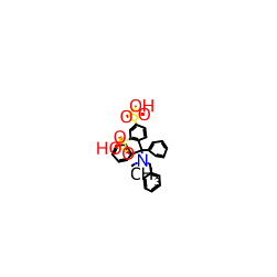 CCN(Cc1ccccc1)C(c1ccccc1)(c1ccccc1)c1ccc(S(=O)(=O)O)cc1S(=O)(=O)O